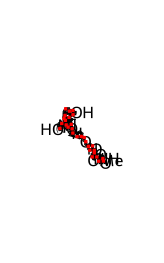 C#Cc1cccc2cc(O)cc(-c3ncc4c(N5CCC[C@@](C)(O)C5)nc(OCC5(CN6CCC(CCOCC7CCN(C(=O)c8ccc(OC)c(N9CCC(=O)NC9=O)c8)CC7)CC6)CC5)nc4c3F)c12